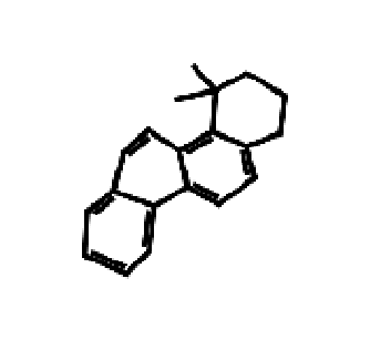 CC1(C)CCCc2ccc3c(ccc4ccccc43)c21